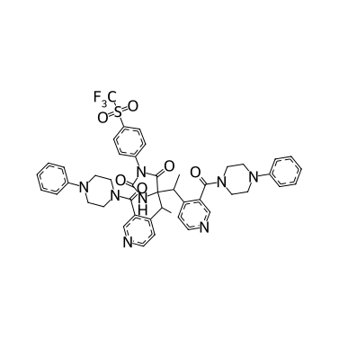 CC(c1ccncc1C(=O)N1CCN(c2ccccc2)CC1)C1(C(C)c2ccncc2C(=O)N2CCN(c3ccccc3)CC2)NC(=O)N(c2ccc(S(=O)(=O)C(F)(F)F)cc2)C1=O